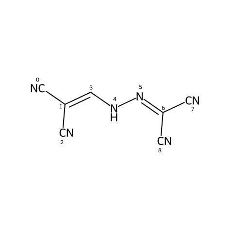 N#CC(C#N)=CNN=C(C#N)C#N